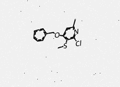 CSc1c(OCc2ccccc2)cc(C)nc1Cl